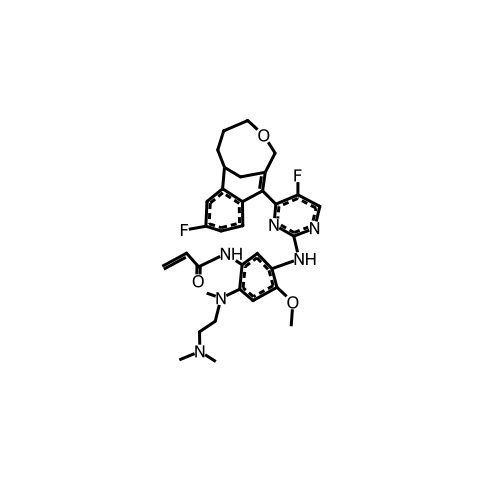 C=CC(=O)Nc1cc(Nc2ncc(F)c(C3=C4COCCCC(C4)c4cc(F)ccc43)n2)c(OC)cc1N(C)CCN(C)C